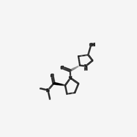 CN(C)C(=O)[C@@H]1CCCN1C(=O)[C@@H]1CC(O)CN1